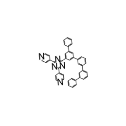 c1ccc(-c2cccc(-c3cccc(-c4cc(-c5ccccc5)cc(-c5nc(-c6ccncc6)nc(-c6ccncc6)n5)c4)c3)c2)cc1